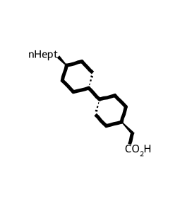 CCCCCCC[C@H]1CC[C@H]([C@H]2CC[C@H](CC(=O)O)CC2)CC1